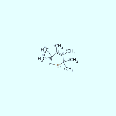 CC1=C(C)C(C)(C)SCC1(C)C